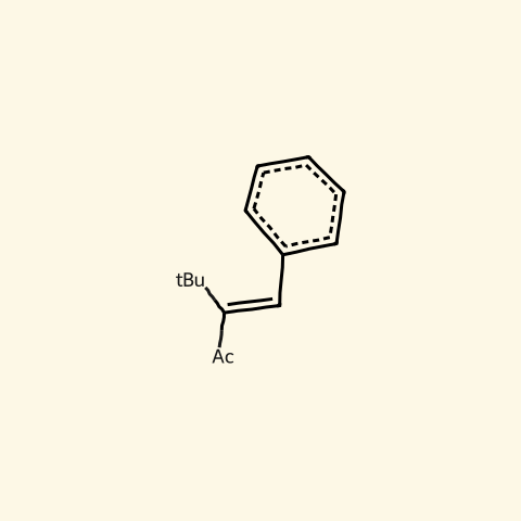 CC(=O)C(=Cc1ccccc1)C(C)(C)C